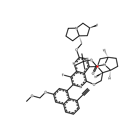 C#Cc1cccc2cc(OCOC)cc(-c3nc4c5c(nc(OC[C@]67CCCN6C[C@@H](F)C7)nc5c3F)N3C[C@H]5CC[C@@H]([C@@H]3CO4)N5C(=O)OC(C)(C)C)c12